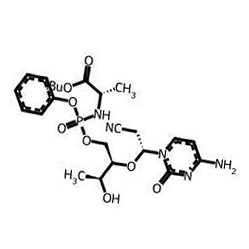 CC(C)COC(=O)[C@H](C)NP(=O)(OC[C@@H](O[C@H](CC#N)n1ccc(N)nc1=O)[C@H](C)O)Oc1ccccc1